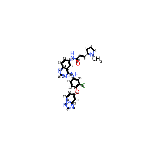 CN1CCC[C@@H]1/C=C/C(=O)Nc1ccc2ncnc(Nc3ccc(Oc4ccn5ncnc5c4)c(Cl)c3)c2c1